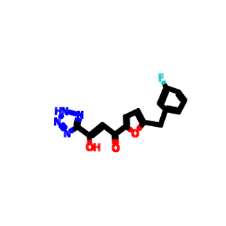 O=C(C=C(O)c1nn[nH]n1)c1ccc(Cc2cccc(F)c2)o1